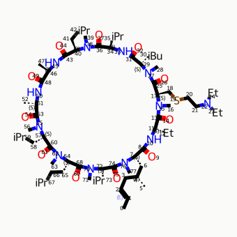 C/C=C/C[C@@H](C)C[C@H]1C(=O)N[C@@H](CC)C(=O)N(C)[C@H](CSCCN(CC)CC)C(=O)N(C)[C@@H](C(C)CC)C(=O)N[C@H](C(C)C)C(=O)N(C)[C@H](CC(C)C)C(=O)N[C@H](C)C(=O)N[C@@H](C)C(=O)N(C)[C@@H](CC(C)C)C(=O)N(C)[C@@H](CCC(C)C)C(=O)N(C)[C@@H](C(C)C)C(=O)N1C